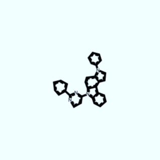 c1ccc(-c2nccc(-n3c4ccccc4c4c5ccn(-c6ccccc6)c5ccc43)n2)cc1